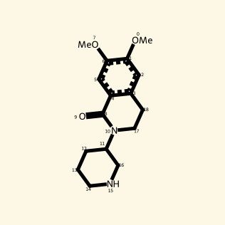 COc1cc2c(cc1OC)C(=O)N(C1CCCNC1)CC2